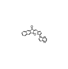 O=C1C(=Cc2ccc(-n3ccc4nccnc43)s2)C(=O)c2cc3ccccc3cc21